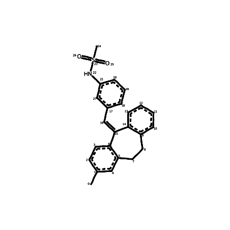 Cc1ccc2c(c1)CCc1ccccc1C2=Cc1cccc(NS(C)(=O)=O)c1